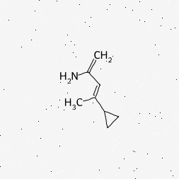 C=C(N)/C=C(\C)C1CC1